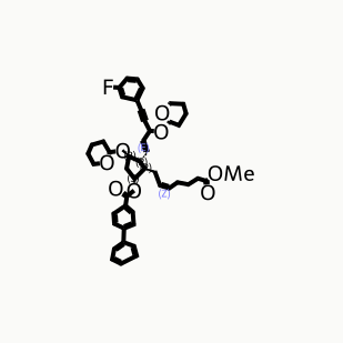 COC(=O)CCC/C=C\C[C@@H]1[C@@H](/C=C/C(C#Cc2cccc(F)c2)OC2CCCCO2)[C@H](OC2CCCCO2)C[C@@H]1OC(=O)c1ccc(-c2ccccc2)cc1